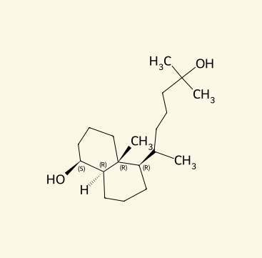 CC(CCCC(C)(C)O)[C@H]1CCC[C@H]2[C@@H](O)CCC[C@]12C